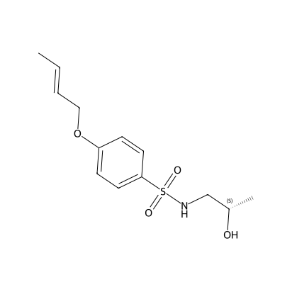 CC=CCOc1ccc(S(=O)(=O)NC[C@H](C)O)cc1